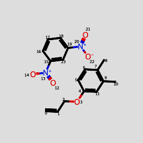 C=CCOc1ccc(C)c(C)c1.O=[N+]([O-])c1cccc([N+](=O)[O-])c1